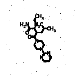 CCC[C@H](C(N)=O)[C@@H](CC(C)C)C(=O)N1CCN(c2ncccn2)CC1